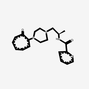 C[C@H](CN1CCN(c2cccccc2=O)CC1)NC(=O)c1ccccn1